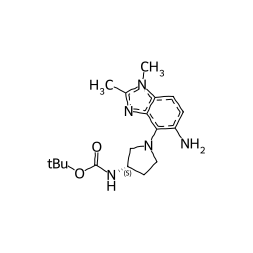 Cc1nc2c(N3CC[C@H](NC(=O)OC(C)(C)C)C3)c(N)ccc2n1C